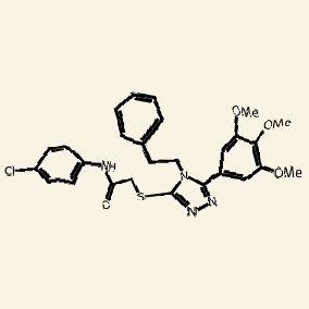 COc1cc(-c2nnc(SCC(=O)Nc3ccc(Cl)cc3)n2CCc2ccccc2)cc(OC)c1OC